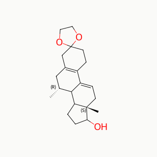 C[C@@H]1CC2=C(CCC3(C2)OCCO3)C2=CC[C@]3(C)C(O)CCC3C21